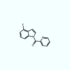 O=C(c1ccccn1)n1ccc2c(F)cccc21